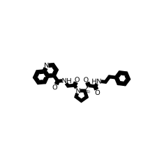 O=C(NCCc1ccccc1)C(=O)[C@@H]1CCCN1C(=O)CNC(=O)c1ccnc2ccccc12